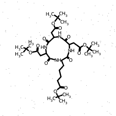 CC(C)(C)OC(=O)CCCCC1NC(=O)C(CC(=O)OC(C)(C)C)NC(=O)C(CC(=O)OC(C)(C)C)NC(=O)C(CC(=O)OC(C)(C)C)NC1=O